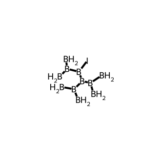 BB(B)B(I)B(B(B)B)B(B)B